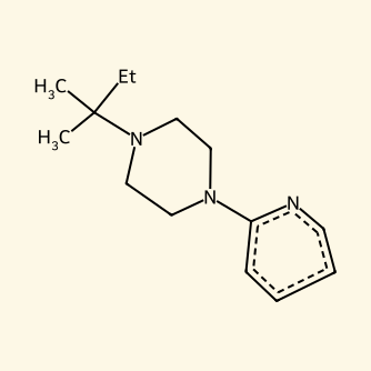 CCC(C)(C)N1CCN(c2ccccn2)CC1